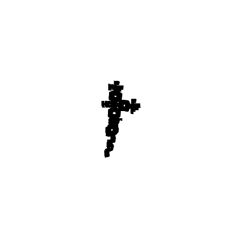 CCON=Cc1ccc(C[N+]2([O-])CCC(C(O)(c3ccc(C(F)(F)F)cc3)c3ccc(C(F)(F)F)cc3)CC2)cc1